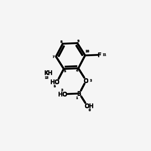 OB(O)Oc1c(O)cccc1F.[KH]